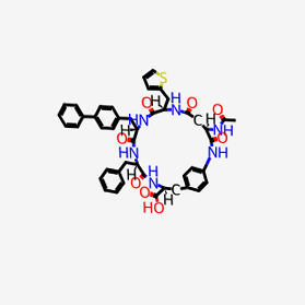 CC(=O)N[C@@H]1CC(=O)N[C@H](Cc2cccs2)C(=O)N[C@@H](Cc2ccc(-c3ccccc3)cc2)C(=O)N[C@H](Cc2ccccc2)C(=O)N[C@H](C(=O)O)Cc2ccc(cc2)NC1=O